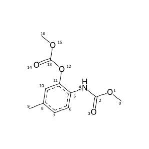 COC(=O)Nc1ccc(C)cc1OC(=O)OC